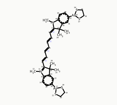 CN1/C(=C/C=C/C=C/C=C/C2=[N+](C)c3ccc([As]4SCCS4)cc3C2(C)C)C(C)(C)c2cc([As]3SCCS3)ccc21